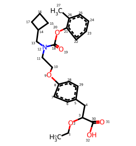 CCOC(Cc1ccc(OCCN(CC2CCC2)C(=O)Oc2ccccc2C)cc1)C(=O)O